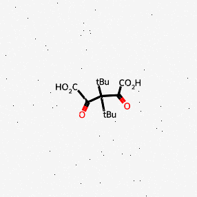 CC(C)(C)C(C(=O)C(=O)O)(C(=O)C(=O)O)C(C)(C)C